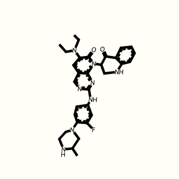 CCN(CC)c1cc2cnc(Nc3ccc(N4CCNC(C)C4)c(F)c3)nc2n(C2CNc3ccccc3C2=O)c1=O